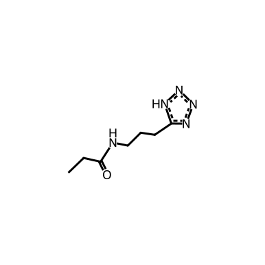 CCC(=O)NCCCc1nnn[nH]1